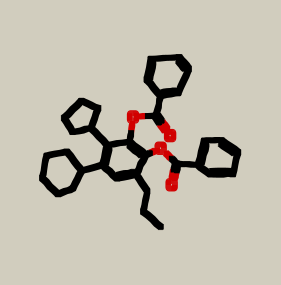 CCCc1cc(C2CCCCC2)c(C2CCCC2)c(OC(=O)c2ccccc2)c1OC(=O)c1ccccc1